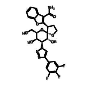 NC(=O)c1c([C@H]2CCO[C@]23O[C@H](CO)[C@H](O)[C@H](n2cc(-c4cc(F)c(F)c(F)c4)nn2)[C@H]3O)oc2ccccc12